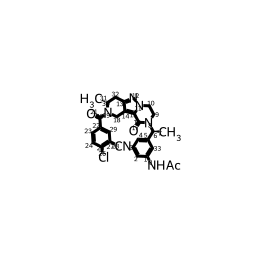 CC(=O)Nc1cccc([C@H](C)N2CCn3nc4c(c3C2=O)CN(C(=O)c2ccc(Cl)c(C#N)c2)[C@H](C)C4)c1